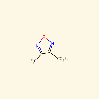 CCOC(=O)c1nonc1C(F)(F)F